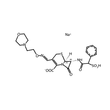 O=C([O-])C1=C(C=NOCCN2CCOCC2)CS[C@H]2[C@H](NC(=O)C(c3ccccc3)S(=O)(=O)O)C(=O)N12.[Na+]